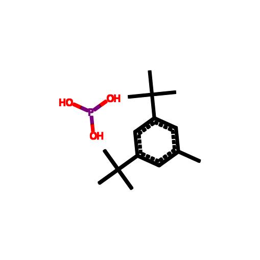 Cc1cc(C(C)(C)C)cc(C(C)(C)C)c1.OP(O)O